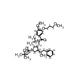 COCCCOc1cc(C(=O)N(C[C@H]2CN(C(=O)OC(C)(C)C)C[C@@H]2N(C)Cc2ccccc2)C(C)C)ccc1OC